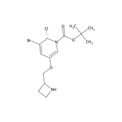 CC(C)(C)OC(=O)N1C=C(OCC2CCN2)C=C(Br)[C@@H]1Cl